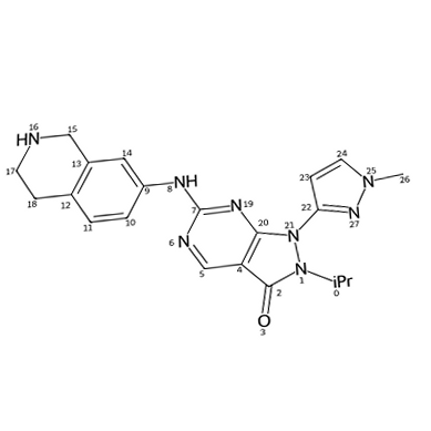 CC(C)n1c(=O)c2cnc(Nc3ccc4c(c3)CNCC4)nc2n1-c1ccn(C)n1